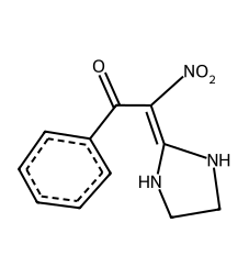 O=C(C(=C1NCCN1)[N+](=O)[O-])c1ccccc1